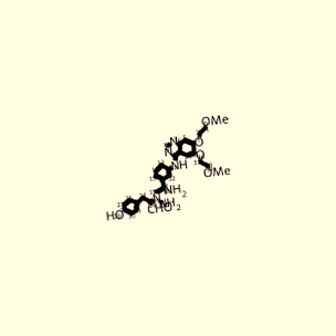 COCCOc1cc2ncnc(Nc3cccc(/C(N)=C/N(N)C(C=O)Cc4ccc(O)cc4)c3)c2cc1OCCOC